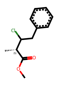 COC(=O)[C@H](C)C(Cl)Cc1ccccc1